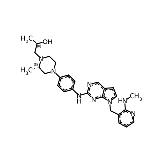 CNc1ncccc1Cn1ccc2cnc(Nc3ccc(N4CCN(C[C@@H](C)O)[C@@H](C)C4)cc3)nc21